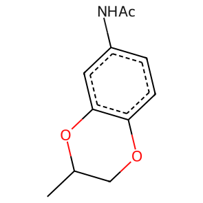 CC(=O)Nc1ccc2c(c1)OC(C)CO2